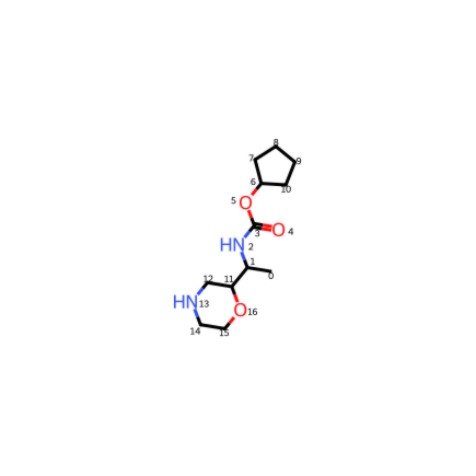 CC(NC(=O)OC1CCCC1)C1CNCCO1